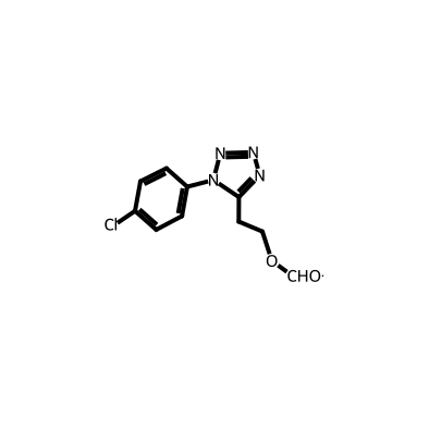 O=[C]OCCc1nnnn1-c1ccc(Cl)cc1